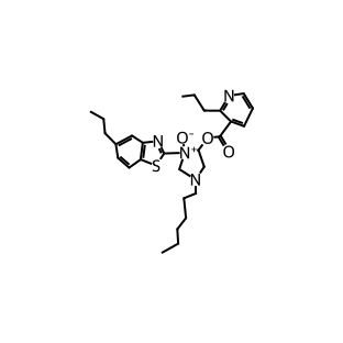 CCCCCCN1CC(OC(=O)c2cccnc2CCC)[N+]([O-])(c2nc3cc(CCC)ccc3s2)C1